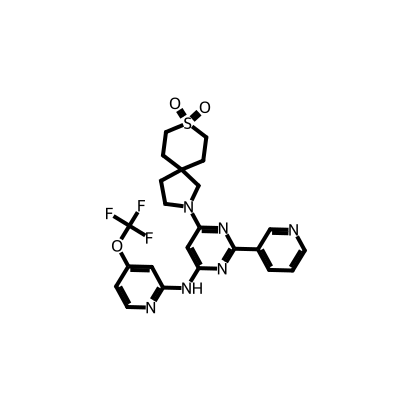 O=S1(=O)CCC2(CCN(c3cc(Nc4cc(OC(F)(F)F)ccn4)nc(-c4cccnc4)n3)C2)CC1